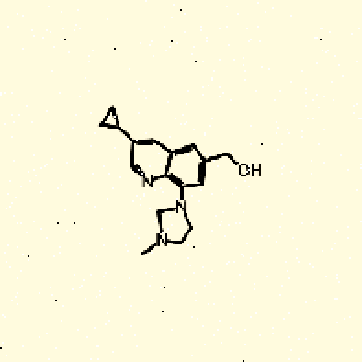 CN1CCN(c2cc(CO)cc3cc(C4CC4)cnc23)C1